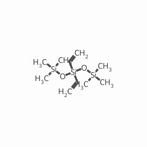 C=C[Si](C=C)(O[Si](C)(C)C)O[Si](C)(C)C